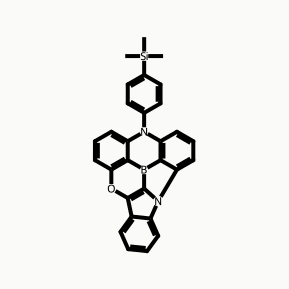 C[Si](C)(C)c1ccc(N2c3cccc4c3B3c5c2cccc5-n2c3c(c3ccccc32)O4)cc1